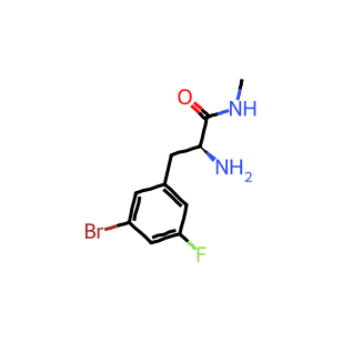 CNC(=O)[C@@H](N)Cc1cc(F)cc(Br)c1